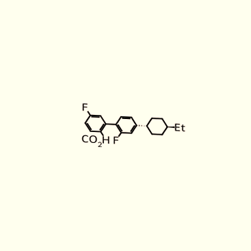 CC[C@H]1CC[C@H](c2ccc(-c3cc(F)ccc3C(=O)O)c(F)c2)CC1